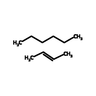 CC=CC.CCCCCC